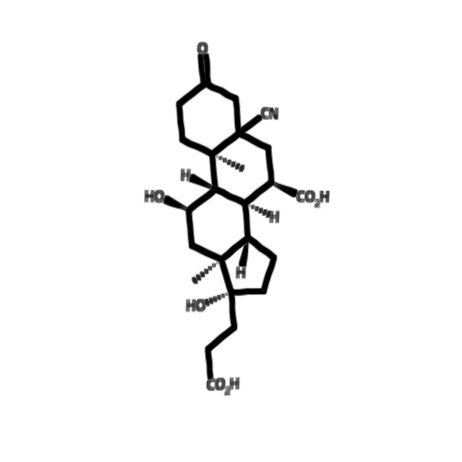 C[C@]12C[C@@H](O)[C@H]3[C@@H]([C@H](C(=O)O)CC4(C#N)CC(=O)CC[C@]34C)[C@@H]1CC[C@@]2(O)CCC(=O)O